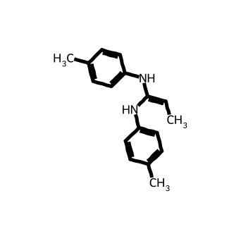 CC=C(Nc1ccc(C)cc1)Nc1ccc(C)cc1